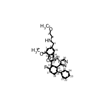 COCCNCc1cc(OC)c2oc(-c3c(F)ccc(-c4ccccc4)c3-c3nncn3C)nc2c1